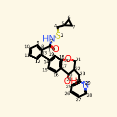 O=C(NSCC1CC1)c1ccccc1-c1ccc2c(c1)OCC(Cc1ccccn1)C2O